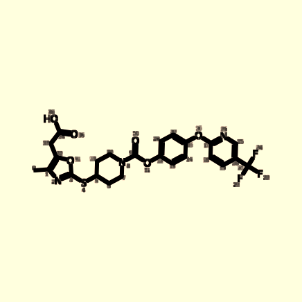 Cc1nc(SC2CCN(C(=O)Oc3ccc(Oc4ccc(C(F)(F)F)cn4)cc3)CC2)oc1CC(=O)O